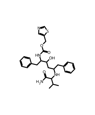 CC(C)C(NC(Cc1ccccc1)CC(O)C(Cc1ccccc1)NC(=O)OCc1cncs1)C(N)=O